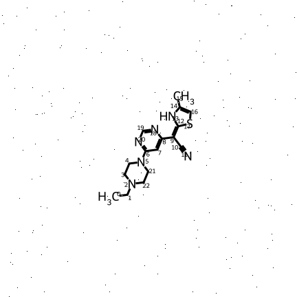 CCN1CCN(c2cc(C(C#N)=C3NC(C)=CS3)ncn2)CC1